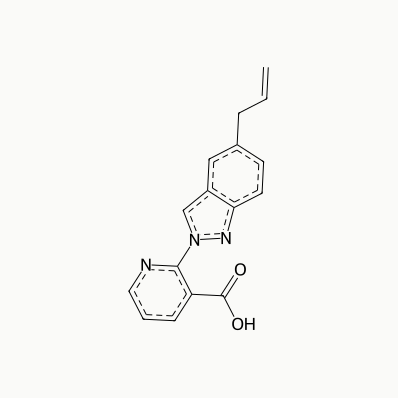 C=CCc1ccc2nn(-c3ncccc3C(=O)O)cc2c1